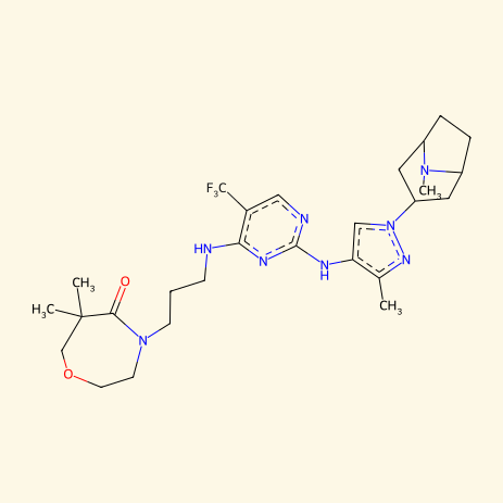 Cc1nn(C2CC3CCC(C2)N3C)cc1Nc1ncc(C(F)(F)F)c(NCCCN2CCOCC(C)(C)C2=O)n1